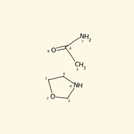 C1COCN1.CC(N)=O